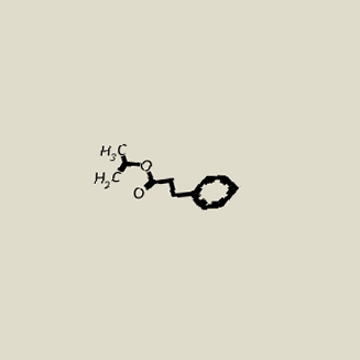 C=C(C)OC(=O)CCc1ccccc1